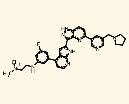 CN(C)CCNc1cc(F)cc(-c2ccnc3[nH]c(-c4n[nH]c5ccc(-c6cncc(CN7CCCC7)c6)nc45)cc23)c1